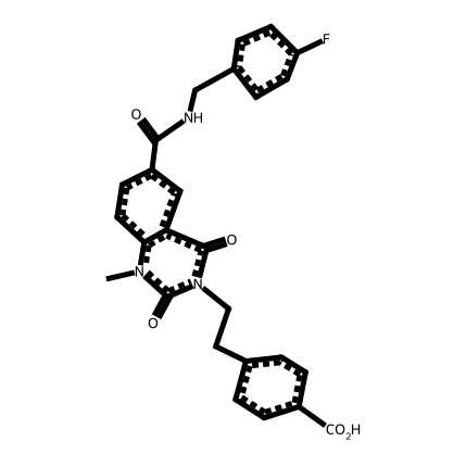 Cn1c(=O)n(CCc2ccc(C(=O)O)cc2)c(=O)c2cc(C(=O)NCc3ccc(F)cc3)ccc21